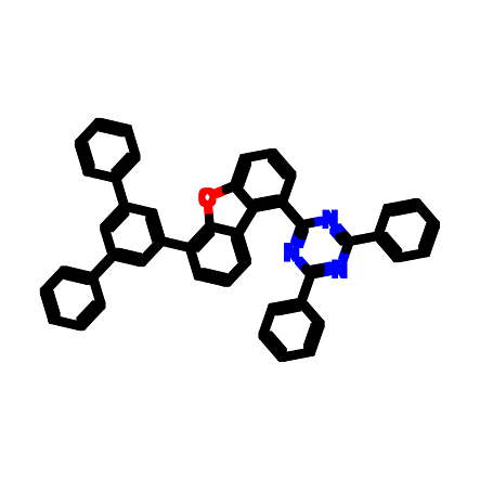 c1ccc(-c2cc(-c3ccccc3)cc(-c3cccc4c3oc3cccc(-c5nc(-c6ccccc6)nc(-c6ccccc6)n5)c34)c2)cc1